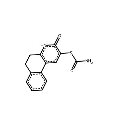 NC(=O)Sc1cc2c([nH]c1=O)CCc1ccccc1-2